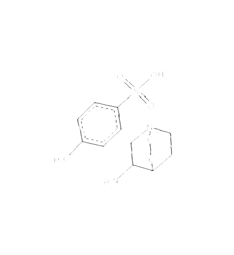 Cc1ccc(S(=O)(=O)O)cc1.NC1CN2CCC1CC2